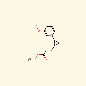 CCOC(=O)CCC1CC1c1cccc(OC)c1